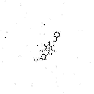 CC(C)(C)OC(=O)NC(COCc1ccccc1)C(=O)NNc1ccc(C(F)(F)F)cn1